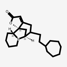 O=C1C=C2CC(CCC3CCCCCC3)[C@@H]3C[C@@]2(O1)[C@H]1CCCCN31